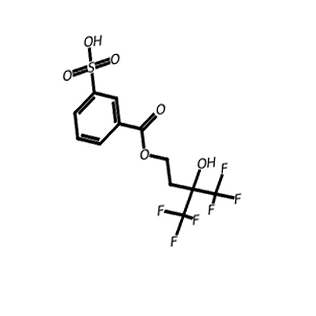 O=C(OCCC(O)(C(F)(F)F)C(F)(F)F)c1cccc(S(=O)(=O)O)c1